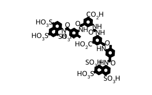 Cc1ccc(C(=O)Nc2ccc(S(=O)(=O)O)c3cc(S(=O)(=O)O)cc(S(=O)(=O)O)c23)cc1NC(=O)c1cc(NC(=O)Nc2cc(C(=O)O)cc(C(=O)Nc3cc(C(=O)Nc4ccc(S(=O)(=O)O)c5cc(S(=O)(=O)O)cc(S(=O)(=O)O)c45)ccc3C)c2)cc(C(=O)O)c1